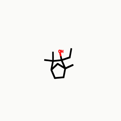 CCC1(O)C2(C)CCC(C2)C1(C)C